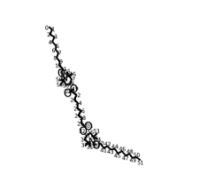 CCCCCCCCCCCCON1C(C)(C)CC(OC(=O)CCCCCCCCC(=O)OC2CC(C)(C)N(OCCCCCCCCCCCC)C(C)(C)C2)CC1(C)C